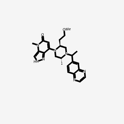 COCC[C@H]1CN(C(C)c2ccc3nccnc3c2)[C@H](C)CN1c1cc(=O)n(C)c2c[nH]nc12